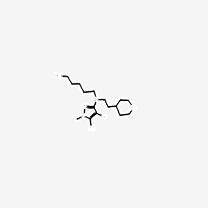 CCc1c(Br)c(N(CCCCCO)CCC2CCOCC2)nn1C